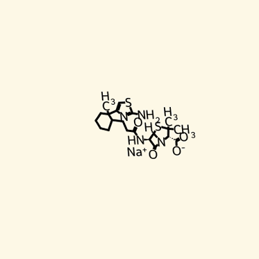 CC1(c2csc(N)n2)CCCCC1CCC(=O)N[C@@H]1C(=O)N2[C@@H]1SC(C)(C)[C@@H]2C(=O)[O-].[Na+]